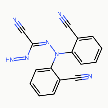 N#CC(N=N)=NN(c1ccccc1C#N)c1ccccc1C#N